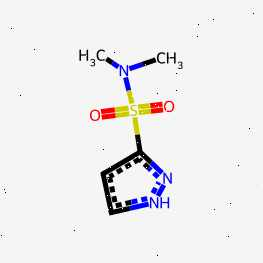 CN(C)S(=O)(=O)c1cc[nH]n1